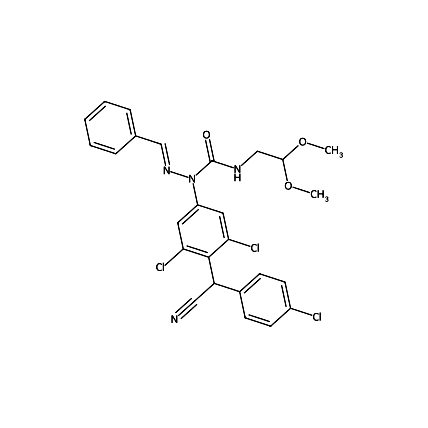 COC(CNC(=O)N(N=Cc1ccccc1)c1cc(Cl)c(C(C#N)c2ccc(Cl)cc2)c(Cl)c1)OC